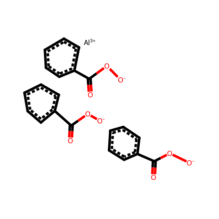 O=C(O[O-])c1ccccc1.O=C(O[O-])c1ccccc1.O=C(O[O-])c1ccccc1.[Al+3]